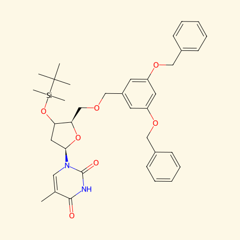 Cc1cn([C@H]2CC(O[Si](C)(C)C(C)(C)C)[C@@H](COCc3cc(OCc4ccccc4)cc(OCc4ccccc4)c3)O2)c(=O)[nH]c1=O